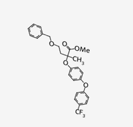 COC(=O)C(C)(CCOCc1ccccc1)Oc1ccc(Oc2ccc(C(F)(F)F)cc2)cc1